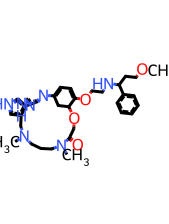 COCCC(NCCOC1=CC=C2CC1OCC(=O)N(C)CCCN(C)Cc1c[nH]c3c1/C(=N/2)N=CN3)c1ccccc1